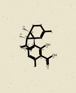 CC1=C[C@@]2(c3c(O)cc(C)c(C(=O)O)c3O)[C@H](CC1)[C@]2(C)C(C)C